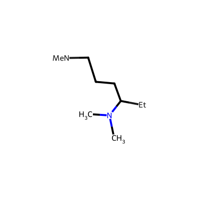 CCC(CCCNC)N(C)C